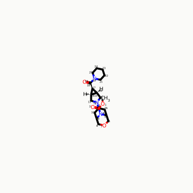 COC(=O)N1C2COCC1CC(N1C[C@@H]3[C@H](C1)[C@@H]3C(=O)N1CCCCC1)C2